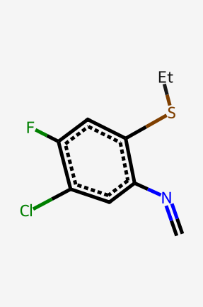 C=Nc1cc(Cl)c(F)cc1SCC